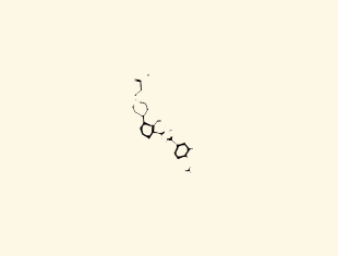 CCc1c(-c2nsc(-c3ccc(OC(C)C)c(Cl)c3)n2)cccc1C1CCN(CCC(=O)O)CC1